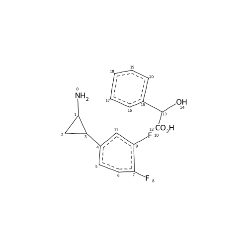 NC1CC1c1ccc(F)c(F)c1.O=C(O)C(O)c1ccccc1